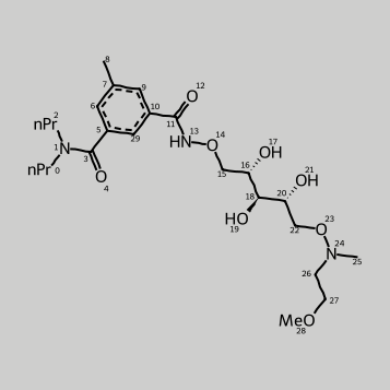 CCCN(CCC)C(=O)c1cc(C)cc(C(=O)NOC[C@H](O)[C@H](O)[C@H](O)CON(C)CCOC)c1